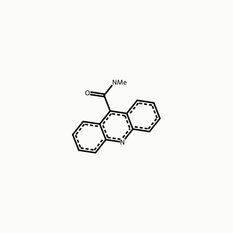 CNC(=O)c1c2ccccc2nc2ccccc12